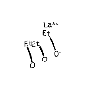 CC[O-].CC[O-].CC[O-].[La+3]